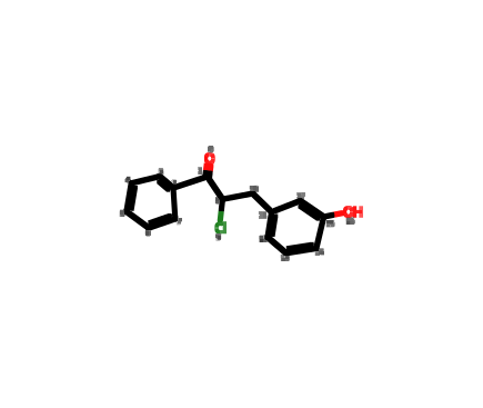 O=C(c1ccccc1)C(Cl)Cc1cccc(O)c1